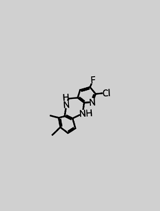 Cc1ccc2c(c1C)NCc1cc(F)c(Cl)nc1N2